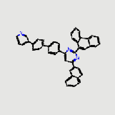 c1cncc(-c2ccc(-c3ccc(-c4cc(-c5ccc6ccccc6c5)nc(-c5cc6ccccc6c6ccccc56)n4)cc3)cc2)c1